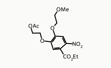 CCOC(=O)c1cc(OCCOC(C)=O)c(OCCOC)cc1[N+](=O)[O-]